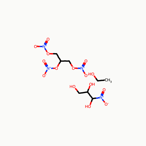 CCO.O=[N+]([O-])C(O)C(O)CO.O=[N+]([O-])OCC(CO[N+](=O)[O-])O[N+](=O)[O-]